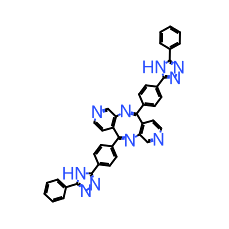 c1ccc(-c2nnc(-c3ccc(/C4=N/c5cnccc5/C(c5ccc(-c6nnc(-c7ccccc7)[nH]6)cc5)=N\c5cnccc54)cc3)[nH]2)cc1